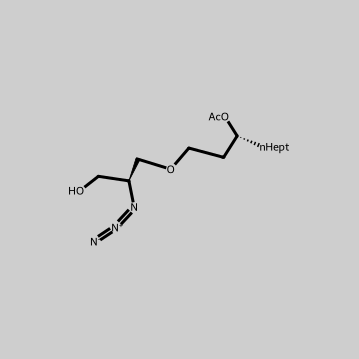 CCCCCCC[C@H](CCOC[C@H](CO)N=[N+]=[N-])OC(C)=O